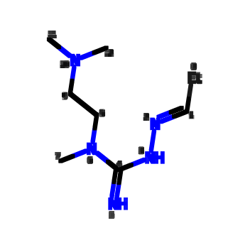 CC/C=N/NC(=N)N(C)CCN(C)C